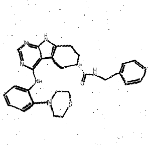 O=C(NCc1ccccc1)[C@H]1CCc2[nH]c3ncnc(Nc4ccccc4N4CCOCC4)c3c2C1